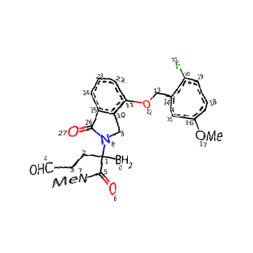 BC(CCC=O)(C(=O)NC)N1Cc2c(OCc3cc(OC)ccc3F)cccc2C1=O